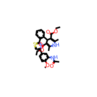 CCOC(=O)C1=C(C)NC(C)=C(C(=O)OCC)C1c1ccccc1-c1nc(-c2ccc(OC)c(NC(C)=O)c2)cs1